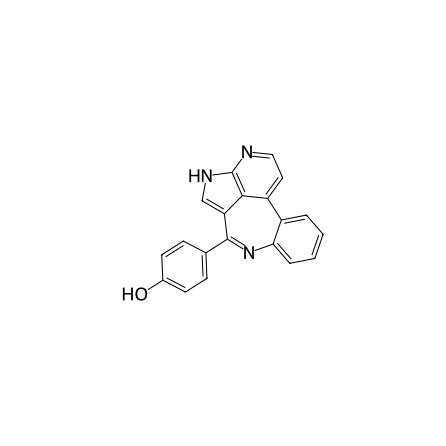 Oc1ccc(C2=Nc3ccccc3-c3ccnc4[nH]cc2c34)cc1